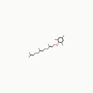 CC(C)=CCC/C(C)=C/CC/C(C)=C/COc1c(C)cc(C)cc1C